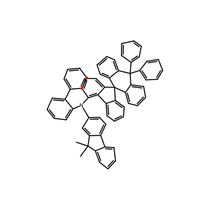 CC1(C)c2ccccc2-c2ccc(N(c3ccccc3-c3ccccc3)c3cccc4c3-c3ccccc3C43c4ccccc4C(c4ccccc4)(c4ccccc4)c4ccccc43)cc21